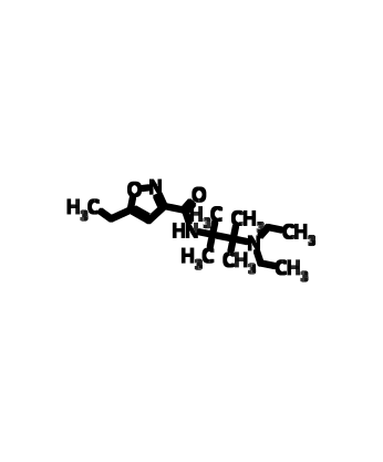 CCc1cc(C(=O)NC(C)(C)C(C)(C)N(CC)CC)no1